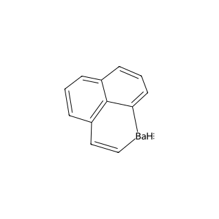 [CH]1=Cc2cccc3ccc[c](c23)[BaH]1